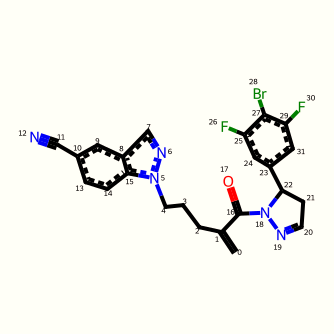 C=C(CCCn1ncc2cc(C#N)ccc21)C(=O)N1N=CCC1c1cc(F)c(Br)c(F)c1